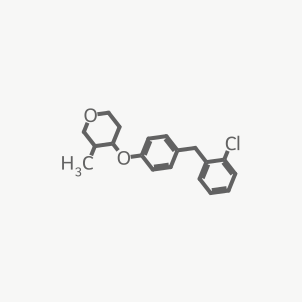 CC1COCCC1Oc1ccc(Cc2ccccc2Cl)cc1